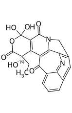 CC[C@@]1(O)C(=O)OC(O)(O)c2c1c1c(=O)c3cccc4cc5c(nc43)c1n(c2=O)C5